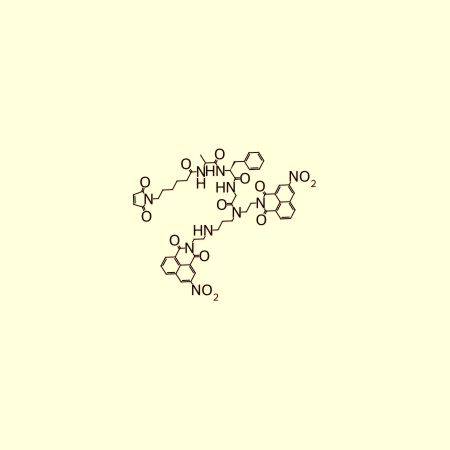 CC(NC(=O)CCCCCN1C(=O)C=CC1=O)C(=O)N[C@@H](Cc1ccccc1)C(=O)NCC(=O)N(CCCNCCN1C(=O)c2cccc3cc([N+](=O)[O-])cc(c23)C1=O)CCN1C(=O)c2cccc3cc([N+](=O)[O-])cc(c23)C1=O